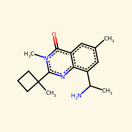 Cc1cc(C(C)N)c2nc(C3(C)CCC3)n(C)c(=O)c2c1